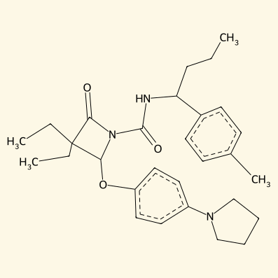 CCCC(NC(=O)N1C(=O)C(CC)(CC)C1Oc1ccc(N2CCCC2)cc1)c1ccc(C)cc1